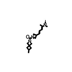 C/C(=C\C=C\C1CN(C(=O)N2CC3(CC(C)C3)C2)C1)N(C)I